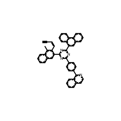 C#C/C=C\c1c(-c2nc(-c3ccc(-c4nccc5ccccc45)cc3)nc(-c3cc4ccccc4c4ccccc34)n2)cc2ccccc2c1C